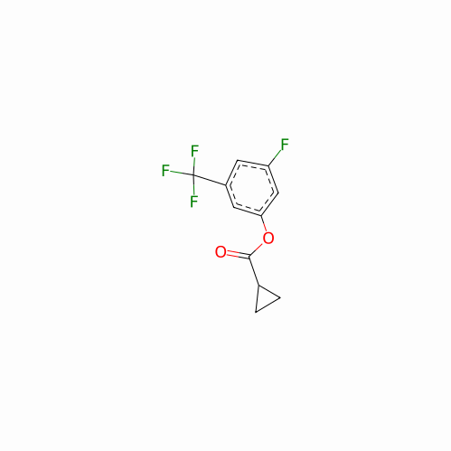 O=C(Oc1cc(F)cc(C(F)(F)F)c1)C1CC1